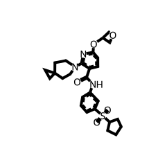 O=C(Nc1cccc(S(=O)(=O)C2CCCC2)c1)c1ccc(OC2COC2)nc1N1CCC2(CC1)CC2